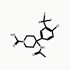 CC(=O)NC1(c2ccc(Cl)c(C(F)(F)F)c2)CCN(C(=O)O)CC1